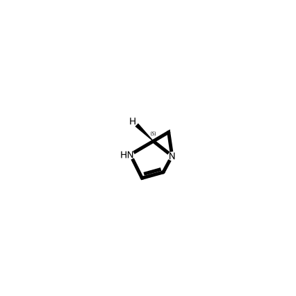 C1=CN2C[C@H]2N1